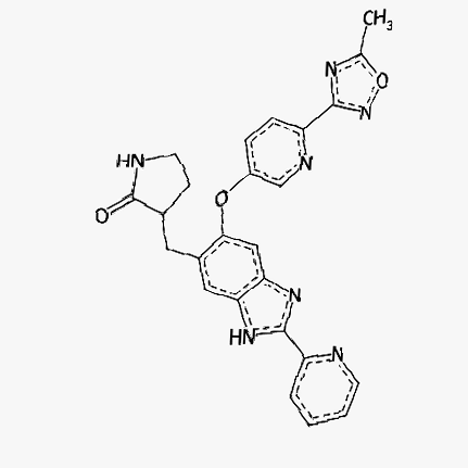 Cc1nc(-c2ccc(Oc3cc4nc(-c5ccccn5)[nH]c4cc3CC3CCNC3=O)cn2)no1